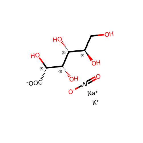 O=C([O-])[C@H](O)[C@@H](O)[C@H](O)[C@H](O)CO.[K+].[Na+].[O]=[Al][O-]